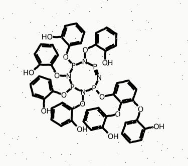 Oc1ccccc1Oc1cccc(Op2npn(Oc3ccccc3O)p(Oc3ccccc3O)n(Oc3ccccc3O)p(Oc3ccccc3O)n2Oc2ccccc2O)c1Oc1ccccc1O